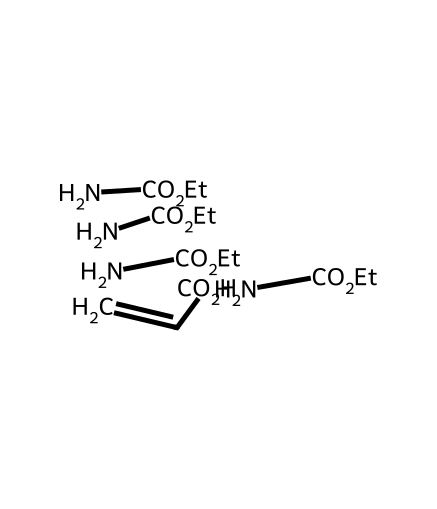 C=CC(=O)O.CCOC(N)=O.CCOC(N)=O.CCOC(N)=O.CCOC(N)=O